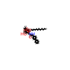 CCCCCCCCCCCCOC[C@@]12O[C@@H](CNC(=O)Cc3ccc(-c4ccccc4)cc3)[C@@H](O)[C@@H]1OC(C)(C)O2